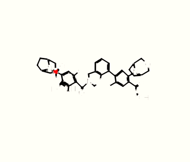 COC(=O)c1cc(F)c(-c2cccc3c2OCN(C(=O)c2c(Cl)cc(N4CC5CCC(C4)N5C(=O)OC(C)(C)C)cc2Cl)C3)cc1N1C2CCC1COC2